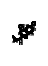 N#Cc1cc(NC2CC2)nc2ccc(Cl)cc12